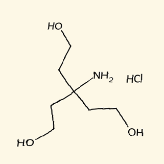 Cl.NC(CCO)(CCO)CCO